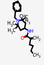 C=C(CCCC)C(=O)NC1CC(C)(C)N(Cc2ccccc2)C(C)(C)C1